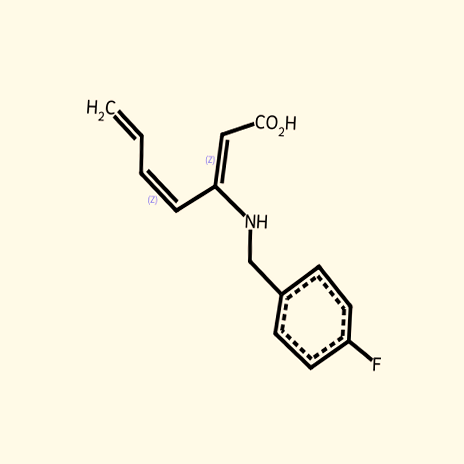 C=C/C=C\C(=C\C(=O)O)NCc1ccc(F)cc1